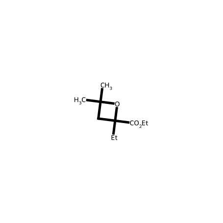 CCOC(=O)C1(CC)CC(C)(C)O1